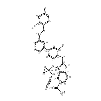 Cc1ccc(COc2cccc(-c3ccc(Cc4nc5ccc(C(=O)O)cc5n4CC4(CC#N)CC4)c(C)c3)n2)c(F)c1